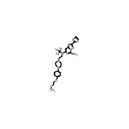 [2H]C([2H])([2H])N(CCN1CCN(c2ccc(OCCOC)cc2)CC1)c1cc2nc(-c3ncco3)nn2c(N)n1